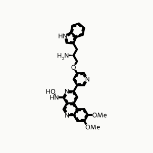 COc1cc2ncc3c(NO)nc(-c4cncc(OC[C@@H](N)Cc5c[nH]c6ccccc56)c4)cc3c2cc1OC